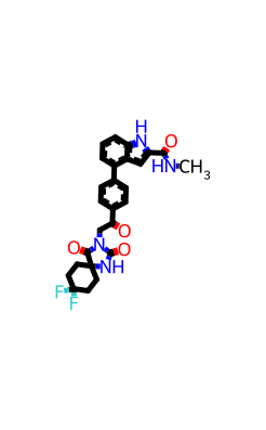 CNC(=O)c1cc2c(-c3ccc(C(=O)CN4C(=O)NC5(CCC(F)(F)CC5)C4=O)cc3)cccc2[nH]1